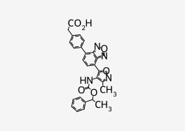 Cc1noc(-c2ccc(-c3ccc(CC(=O)O)cc3)c3nonc23)c1NC(=O)OC(C)c1ccccc1